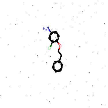 Nc1ccc(OCCc2ccccc2)c(Cl)c1